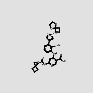 COc1c(Nc2cc(NC(=O)[C@@H]3CC34CCC4)ncc2C(N)=O)cccc1-c1cnn([C@H]2CCC23OCCO3)c1